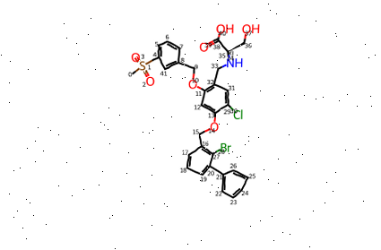 CS(=O)(=O)c1cccc(COc2cc(OCc3cccc(-c4ccccc4)c3Br)c(Cl)cc2CN[C@H](CO)C(=O)O)c1